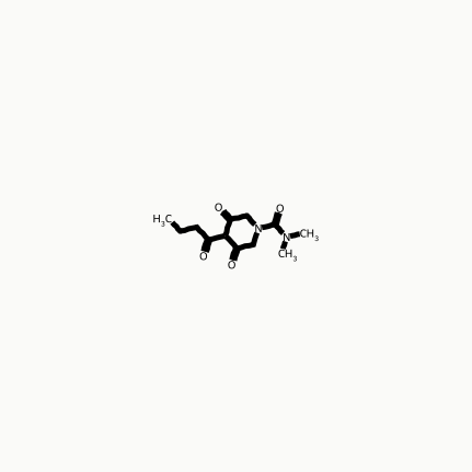 CCCC(=O)C1C(=O)CN(C(=O)N(C)C)CC1=O